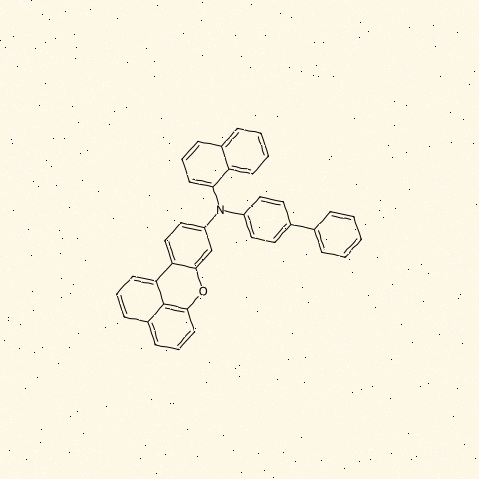 c1ccc(-c2ccc(N(c3ccc4c(c3)Oc3cccc5cccc-4c35)c3cccc4ccccc34)cc2)cc1